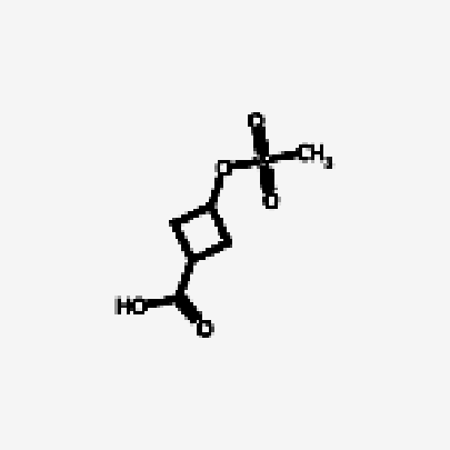 CS(=O)(=O)OC1CC(C(=O)O)C1